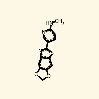 CNc1ccc(-c2nc3cc4c(cc3s2)OCO4)cn1